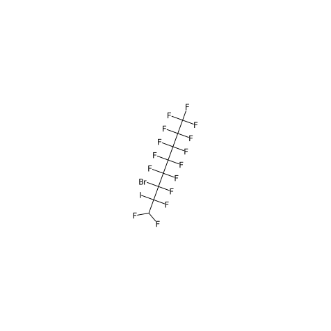 FC(F)C(F)(I)C(F)(Br)C(F)(F)C(F)(F)C(F)(F)C(F)(F)C(F)(F)F